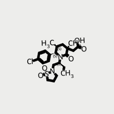 CC[C@@H](CN1CCCS1(=O)=O)N1C(=O)[C@@](C)(CC(=O)O)C[C@H](C)[C@H]1c1ccc(Cl)cc1